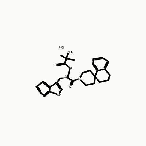 CC(C)(N)C(=O)N[C@H](Cc1c[nH]c2ccccc12)C(=O)N1CCC2(CCCc3ccccc32)CC1.Cl